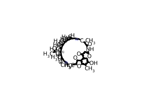 CO[C@H]1/C=C\O[C@@]2(C)Oc3c(C)c(O)c4oc(cc(=O)c4c3C2=O)NC(=O)C(C)C/C=C\[C@H](C)[C@H](O)[C@@H](C)[C@@H](O)[C@@H](C)[C@H](OC(C)=O)[C@@H]1C